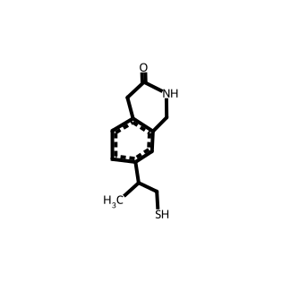 CC(CS)c1ccc2c(c1)CNC(=O)C2